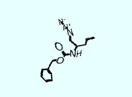 CCCC(CN=[N+]=[N-])NC(=O)OCc1ccccc1